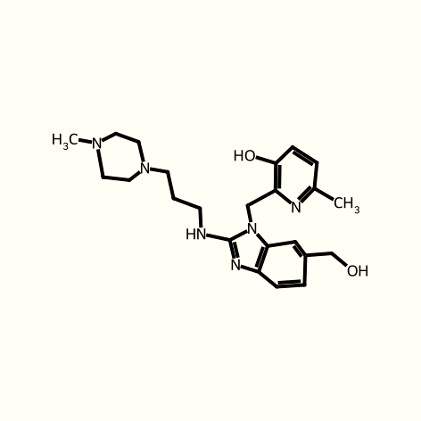 Cc1ccc(O)c(Cn2c(NCCCN3CCN(C)CC3)nc3ccc(CO)cc32)n1